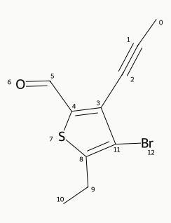 CC#Cc1c(C=O)sc(CC)c1Br